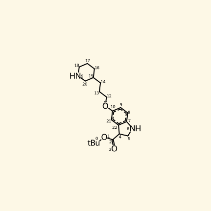 CC(C)(C)OC(=O)C1CNc2ccc(OCCCC3CCCNC3)cc21